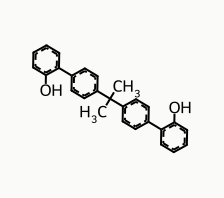 CC(C)(c1ccc(-c2ccccc2O)cc1)c1ccc(-c2ccccc2O)cc1